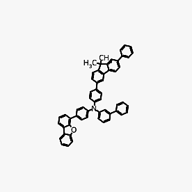 CC1(C)c2ccc(-c3ccc(N(c4ccc(-c5cccc6c5oc5ccccc56)cc4)c4cccc(-c5ccccc5)c4)cc3)cc2-c2ccc(-c3ccccc3)cc21